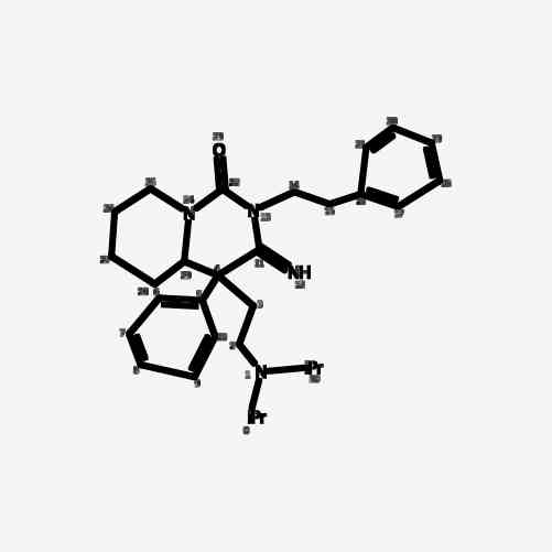 CC(C)N(CCC1(c2ccccc2)C(=N)N(CCc2ccccc2)C(=O)N2CCCCC21)C(C)C